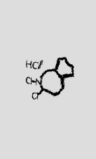 Cl.ClC1CCc2ccccc2CN1Cl